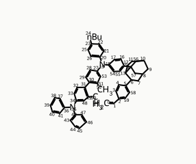 C=Cc1ccc(C2CC3CC4CCC2C(c2ccc(N(c5ccc(CCCC)cc5)c5ccc(-c6ccc(N(c7ccccc7)c7ccccc7)cc6C)c(C)c5)cc2)(C4)C3)cc1